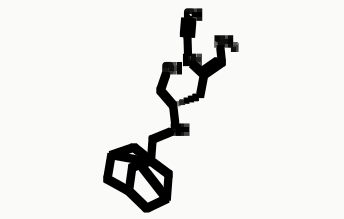 C#CN/C(=C\N)C[C@@H](CO)NCC12CC3CC(CC(C3)C1)C2